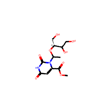 COC(=O)c1cc(=O)[nH]c(=O)n1C(C)O[C@H](CO)C(O)CO